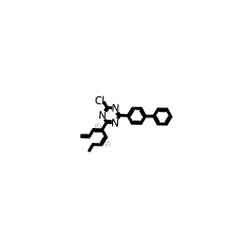 C=C/C=C(\C=C/CC)c1nc(Cl)nc(-c2ccc(-c3ccccc3)cc2)n1